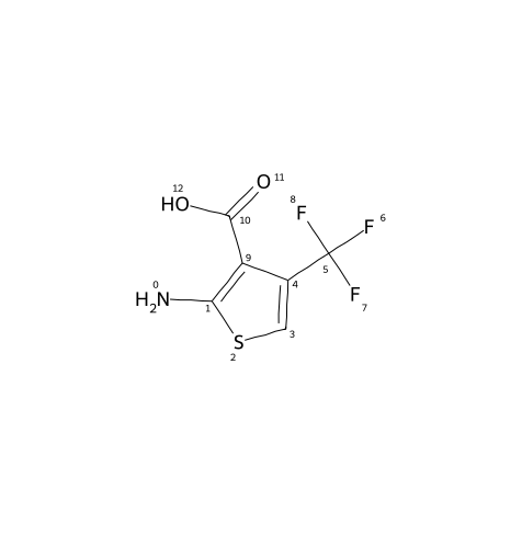 Nc1scc(C(F)(F)F)c1C(=O)O